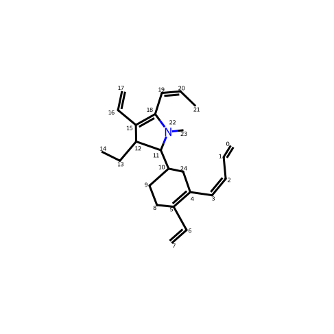 C=C/C=C\C1=C(C=C)CCC(C2C(CC)C(C=C)=C(/C=C\C)N2C)C1